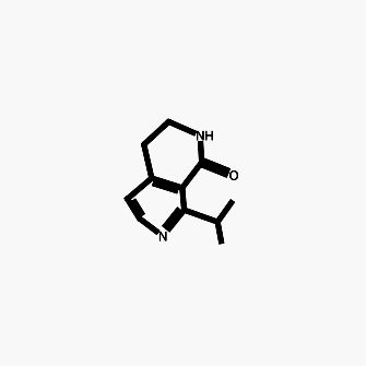 CC(C)c1nccc2c1C(=O)NCC2